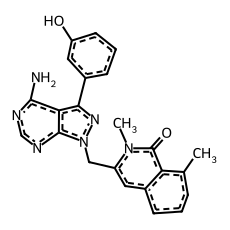 Cc1cccc2cc(Cn3nc(-c4cccc(O)c4)c4c(N)ncnc43)n(C)c(=O)c12